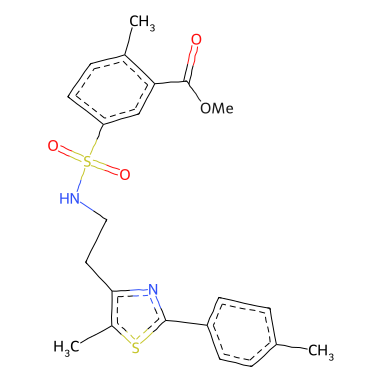 COC(=O)c1cc(S(=O)(=O)NCCc2nc(-c3ccc(C)cc3)sc2C)ccc1C